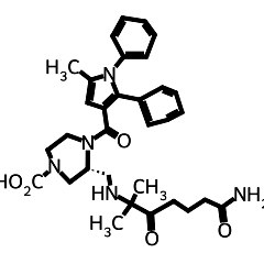 Cc1cc(C(=O)N2CCN(C(=O)O)C[C@H]2CNC(C)(C)C(=O)CCCC(N)=O)c(-c2ccccc2)n1-c1ccccc1